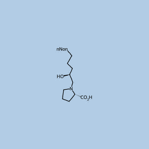 CCCCCCCCCCCC[C@H](O)CN1CCC[C@H]1C(=O)O